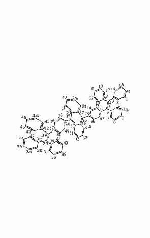 c1ccc(C(=C(c2ccccc2)c2ccc(-c3c4ccccc4c(-c4ccc(C(=C(c5ccccc5)c5ccccc5)c5ccccc5)cc4)c4ccccc34)cc2)c2ccccc2)cc1